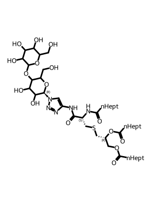 CCCCCCCC(=O)N[C@H](CSC[C@@H](COC(=O)CCCCCCC)OC(=O)CCCCCCC)C(=O)Nc1cn([C@@H]2OC(CO)C(OC3OC(CO)C(O)C(O)C3O)C(O)C2O)nn1